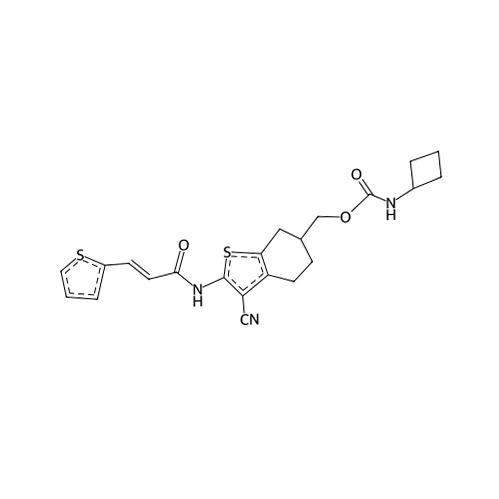 N#Cc1c(NC(=O)C=Cc2cccs2)sc2c1CCC(COC(=O)NC1CCC1)C2